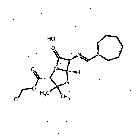 CC1(C)S[C@@H]2[C@H](N=CN3CCCCCC3)C(=O)N2[C@H]1C(=O)OCCl.Cl